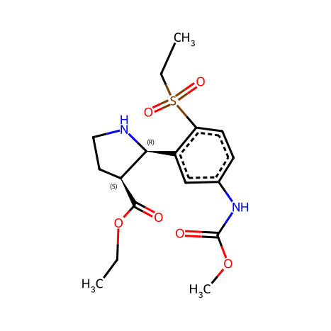 CCOC(=O)[C@H]1CCN[C@H]1c1cc(NC(=O)OC)ccc1S(=O)(=O)CC